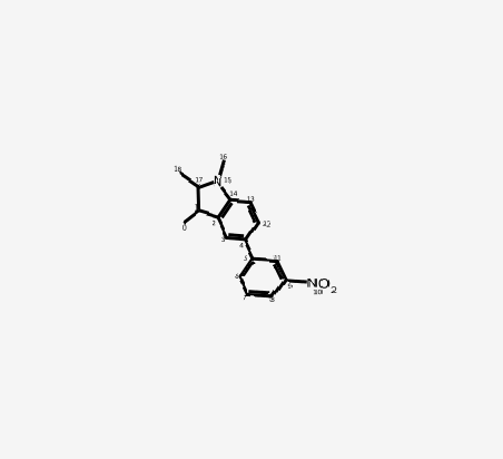 CC1c2cc(-c3cccc([N+](=O)[O-])c3)ccc2N(C)C1C